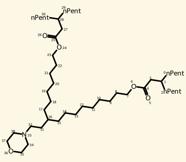 CCCCCC(CCCCC)CC(=O)OCCCCCCCCCC(CCCCCCCOC(=O)CC(CCCCC)CCCCC)CCN1CCOCC1